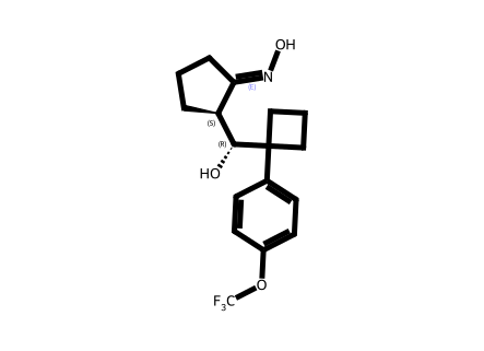 O/N=C1\CCC[C@@H]1[C@@H](O)C1(c2ccc(OC(F)(F)F)cc2)CCC1